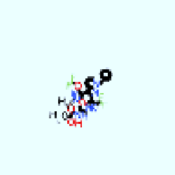 C[C@@H](O)C(=O)N[C@@H]1COc2c(-c3nc4n(Cc5ccccc5)cccc-4c3-c3cn(C)nc3OC(F)F)c(C(F)F)nn2C1